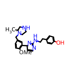 COc1ccc(CN2CCNC[C@@H]2C)cc1-c1ccnc(NCCc2ccc(O)cc2)n1